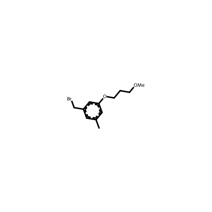 COCCCOc1cc(C)cc(CBr)c1